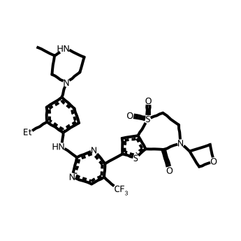 CCc1cc(N2CCNC(C)C2)ccc1Nc1ncc(C(F)(F)F)c(-c2cc3c(s2)C(=O)N(C2COC2)CCS3(=O)=O)n1